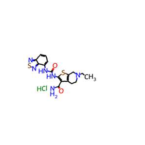 CCN1CCc2c(sc(NC(=O)Nc3cccc4nsnc34)c2C(N)=O)C1.Cl